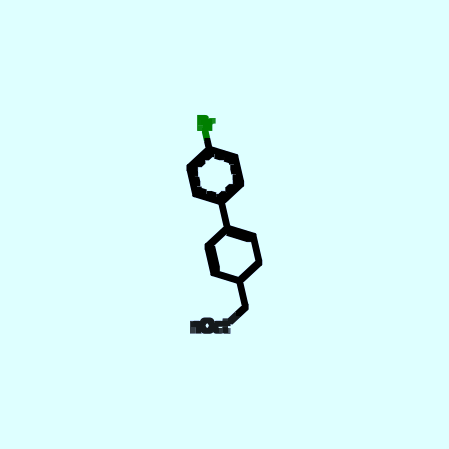 CCCCCCCCCC1C=CC(c2ccc(Br)cc2)=CC1